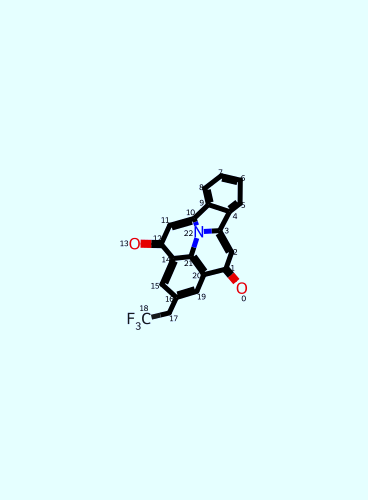 O=c1cc2c3ccccc3c3cc(=O)c4cc(CC(F)(F)F)cc1c4n23